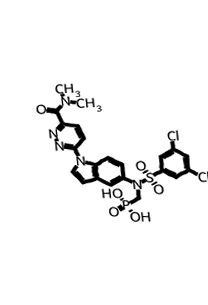 CN(C)C(=O)c1ccc(-n2ccc3cc(N(CP(=O)(O)O)S(=O)(=O)c4cc(Cl)cc(Cl)c4)ccc32)nn1